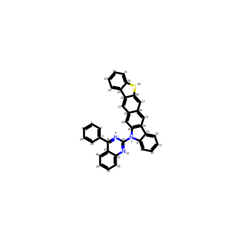 c1ccc(-c2nc(-n3c4ccccc4c4cc5cc6sc7ccccc7c6cc5cc43)nc3ccccc23)cc1